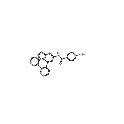 CC(C)(C)c1ccc(C(=O)Nc2cc(-c3ccccc3-c3ccccc3)n3nccc3n2)cc1